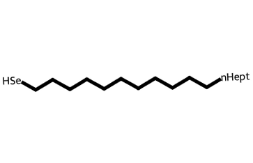 CCCCCCCCCCCCCCCCCC[SeH]